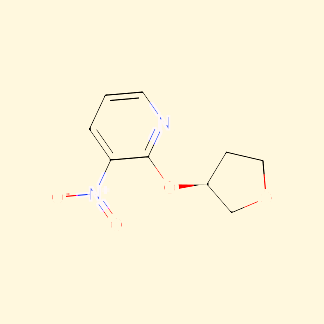 O=[N+]([O-])c1cccnc1O[C@H]1CCOC1